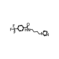 O=C(NCCCCn1ccnc1)c1ccc(C(F)(F)F)cc1